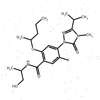 CCCC(C)Oc1cc(-n2nc(C(C)C)n(C)c2=O)c(F)cc1C(=O)NC(C)CO